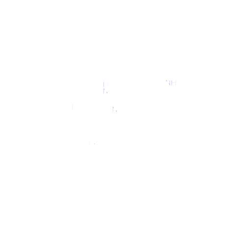 O=c1[nH]c(CCC2CCNCC2)nc2cc(OCC3CC3)cc(F)c12